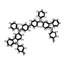 FC1=CC=C(n2c3ccccc3c3cc(N(c4ccccc4)c4ccc(-c5ccc(N(c6ccccc6)c6ccc7c(c6)c6ccccc6n7-c6ccc(F)cc6)cc5)cc4)ccc32)CC1